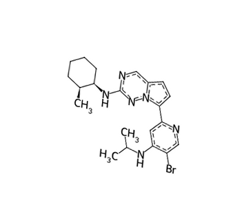 CC(C)Nc1cc(-c2ccc3cnc(N[C@@H]4CCCC[C@@H]4C)nn23)ncc1Br